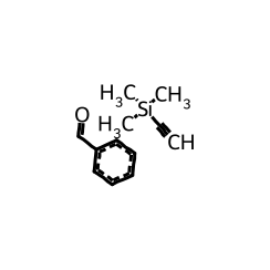 C#C[Si](C)(C)C.O=Cc1ccccc1